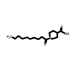 CCCCCCCCCC(=O)N1CCC(C(=O)O)CC1